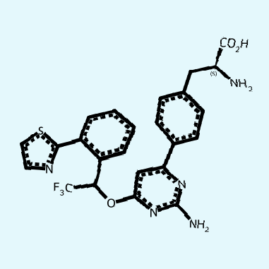 Nc1nc(OC(c2ccccc2-c2nccs2)C(F)(F)F)cc(-c2ccc(C[C@H](N)C(=O)O)cc2)n1